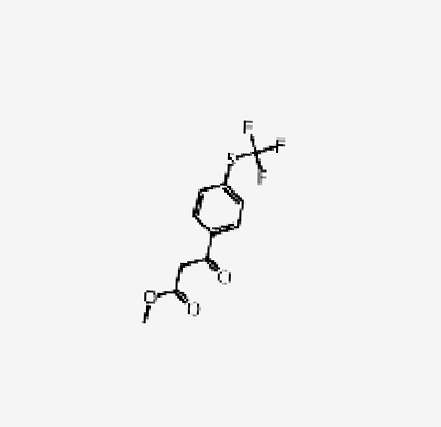 COC(=O)CC(=O)c1ccc(SC(F)(F)F)cc1